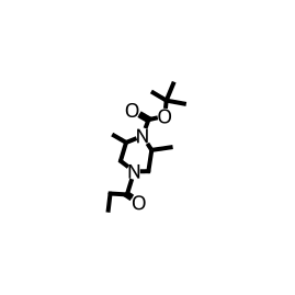 CCC(=O)N1CC(C)N(C(=O)OC(C)(C)C)C(C)C1